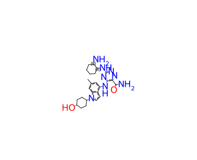 Cc1cc(Nc2nc(N[C@@H]3CCCC[C@@H]3N)nnc2C(N)=O)c2ccn(C3CCC(O)CC3)c2c1